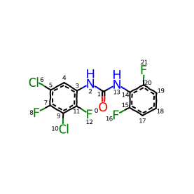 O=C(Nc1cc(Cl)c(F)c(Cl)c1F)Nc1c(F)cccc1F